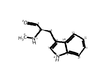 CN[C@@H](C=O)Cc1c[nH]c2ccccc12